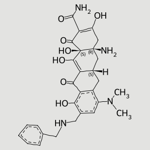 CN(C)c1cc(CNCc2ccccc2)c(O)c2c1C[C@H]1C[C@@]3(N)CC(O)=C(C(N)=O)C(=O)[C@@]3(O)C(O)=C1C2=O